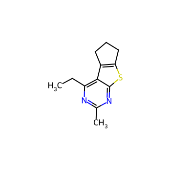 CCc1nc(C)nc2sc3c(c12)CCC3